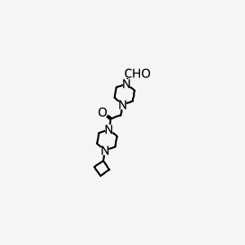 O=CN1CCN(CC(=O)N2CCN(C3CCC3)CC2)CC1